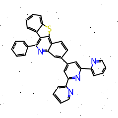 c1ccc(-c2nc3cc(-c4cc(-c5ccccn5)nc(-c5ccccn5)c4)ccc3c3sc4ccccc4c23)cc1